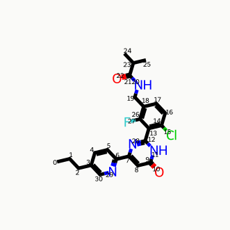 CCCc1ccc(-c2cc(=O)[nH]c(-c3c(Cl)ccc(CNC(=O)C(C)C)c3F)n2)nc1